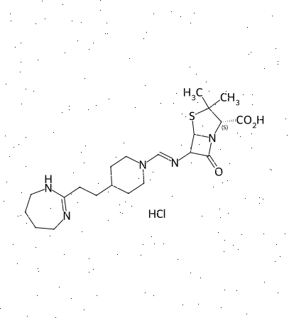 CC1(C)SC2C(N=CN3CCC(CCC4=NCCCCN4)CC3)C(=O)N2[C@H]1C(=O)O.Cl